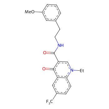 CCn1cc(C(=O)NCCc2cccc(OC)c2)c(=O)c2cc(C(F)(F)F)ccc21